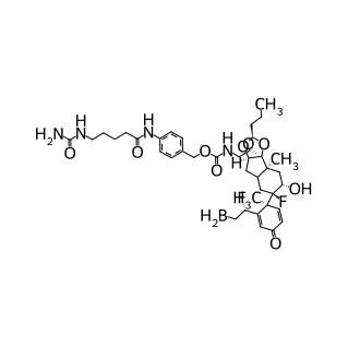 BC[C@H](F)C1=CC(=O)C=C[C@]1(C)[C@]1(F)CC2C[C@H]3O[C@@H](CCC)O[C@@]3(C(=O)CNC(=O)OCc3ccc(NC(=O)CCCCNC(N)=O)cc3)[C@@]2(C)C[C@@H]1O